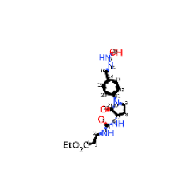 CCOC(=O)CCNC(=O)N[C@H]1CCN(c2ccc(C=NNO)cc2)C1=O